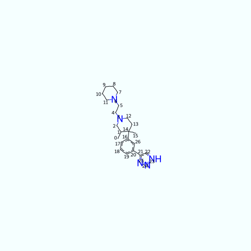 CC1CN(CCN2CCCCC2)CCC1(C)c1cccc(-c2c[nH]nn2)c1